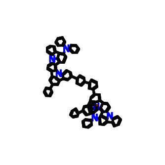 c1ccc(-c2ccc3c(c2)c2cc(-c4cccc(-c5ccc(-c6ccc7c(c6)c6cc(-c8ccccc8)cc8c9ccc%10c(c%11ccc(N(c%12ccccc%12)c%12ccccc%12)c%12c%13ccccc%13n%10c%11%12)c9n7c68)cc5)c4)cc4c5ccc6c(c7c(N(c8ccccc8)c8ccccc8)ccc8c9ccccc9n6c87)c5n3c24)cc1